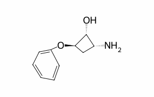 N[C@@H]1C[C@@H](Oc2ccccc2)[C@@H]1O